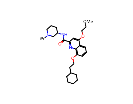 COCCOc1cc(C(=O)N[C@@H]2CCCN(C(C)C)C2)nc2c(OCCC3CCCCC3)cccc12